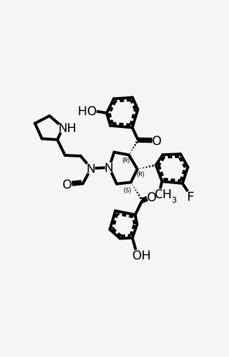 Cc1c(F)cccc1[C@H]1[C@@H](C(=O)c2cccc(O)c2)CN(N(C=O)CCC2CCCN2)C[C@H]1C(=O)c1cccc(O)c1